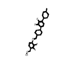 CCOCc1ccc(OCC2CCC(c3ccc(C4CCC(C)CC4)c(F)c3F)CC2)c(F)c1F